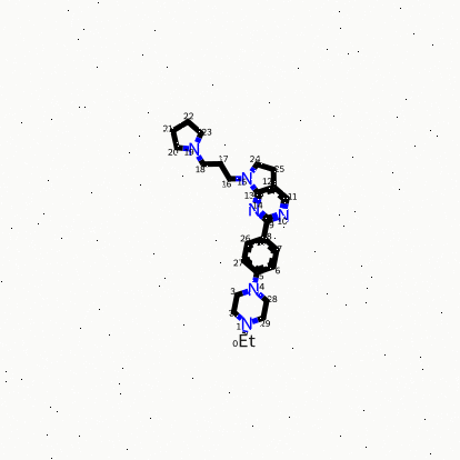 CCN1CCN(c2ccc(-c3ncc4c(n3)N(CCCN3CCCC3)CC4)cc2)CC1